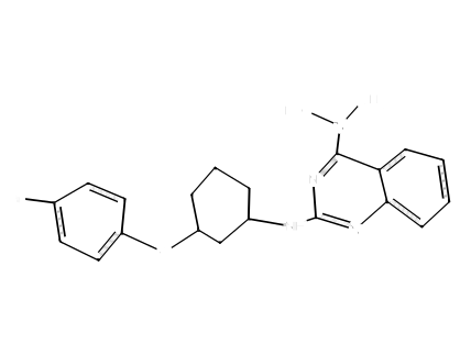 CN(C)c1nc(NC2CCCC(Oc3ccc(Br)cc3)C2)nc2ccccc12